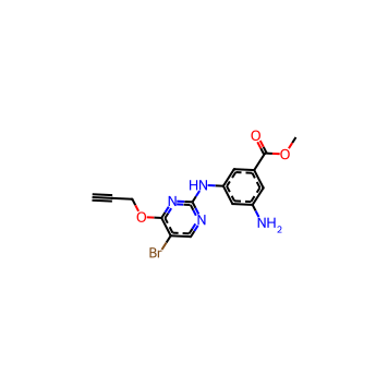 C#CCOc1nc(Nc2cc(N)cc(C(=O)OC)c2)ncc1Br